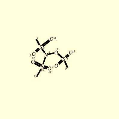 CS(=O)(=O)ON(S(C)(=O)=O)S(C)(=O)=O